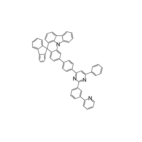 c1ccc(-c2cc(-c3ccc(-c4ccc5c(c4)-n4c6ccccc6c6cccc(c64)C54c5ccccc5-c5ccccc54)cc3)nc(-c3cccc(-c4ccccn4)c3)n2)cc1